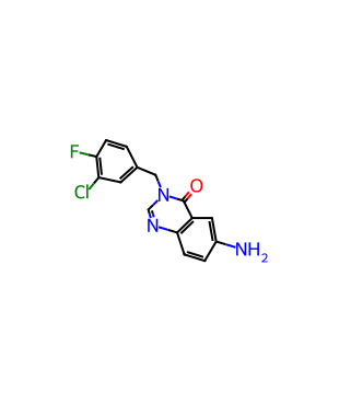 Nc1ccc2ncn(Cc3ccc(F)c(Cl)c3)c(=O)c2c1